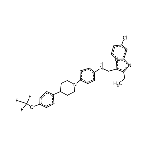 CCc1nc2cc(Cl)ccn2c1CNc1ccc(N2CCC(c3ccc(OC(F)(F)F)cc3)CC2)cc1